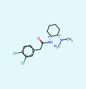 CN(C)[C@H]1CCCC[C@H]1NC(=O)Cc1ccc(Cl)c(Cl)c1